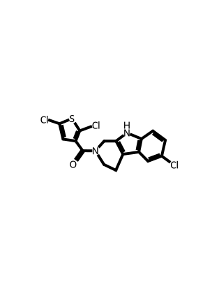 O=C(c1cc(Cl)sc1Cl)N1CCc2c([nH]c3ccc(Cl)cc23)C1